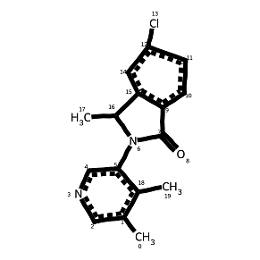 Cc1cncc(N2C(=O)c3ccc(Cl)cc3C2C)c1C